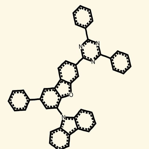 c1ccc(-c2cc(-n3c4ccccc4c4ccccc43)c3oc4cc(-c5nc(-c6ccccc6)nc(-c6ccccc6)n5)ccc4c3c2)cc1